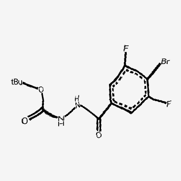 CC(C)(C)OC(=O)NNC(=O)c1cc(F)c(Br)c(F)c1